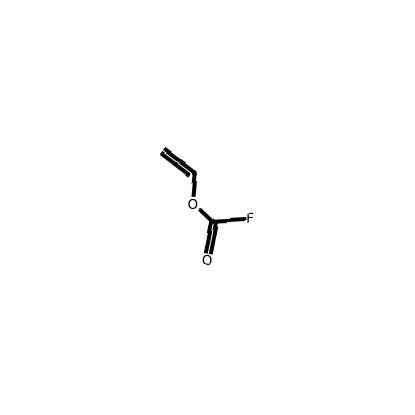 C=COC(=O)F